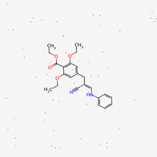 CCOC(=O)c1c(OCC)cc(CC(C#N)=CNc2ccccc2)cc1OCC